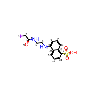 O=C(CI)NCCNc1cccc2c(S(=O)(=O)O)[c]ccc12